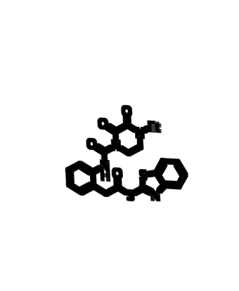 CCN1CCN(C(=O)Nc2ccccc2CC(=O)Sc2nc3ccccc3s2)C(=O)C1=O